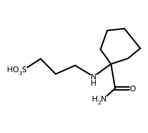 NC(=O)C1(NCCCS(=O)(=O)O)CCCCC1